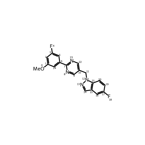 COc1cc(F)cc(-c2ncc(Cn3ncc4cc(F)ccc43)cn2)c1